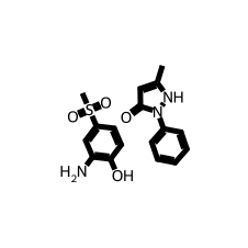 CS(=O)(=O)c1ccc(O)c(N)c1.Cc1cc(=O)n(-c2ccccc2)[nH]1